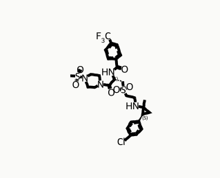 CC1(NCCS(=O)(=O)C[C@@H](NC(=O)c2ccc(C(F)(F)F)cc2)C(=O)N2CCN(S(C)(=O)=O)CC2)C[C@H]1c1ccc(Cl)cc1